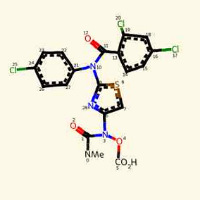 CNC(=O)N(OC(=O)O)c1csc(N(C(=O)c2ccc(Cl)cc2Cl)c2ccc(Cl)cc2)n1